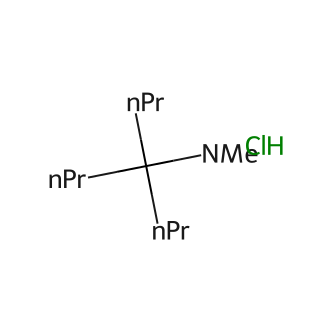 CCCC(CCC)(CCC)NC.Cl